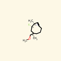 COC[C@]1(C)CCC/C=C/[C@@H](C)[C@@H](F)C1